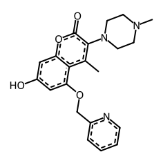 Cc1c(N2CCN(C)CC2)c(=O)oc2cc(O)cc(OCc3ccccn3)c12